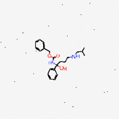 CC(C)CNCCCC(O)(NC(=O)OCc1ccccc1)c1ccccc1